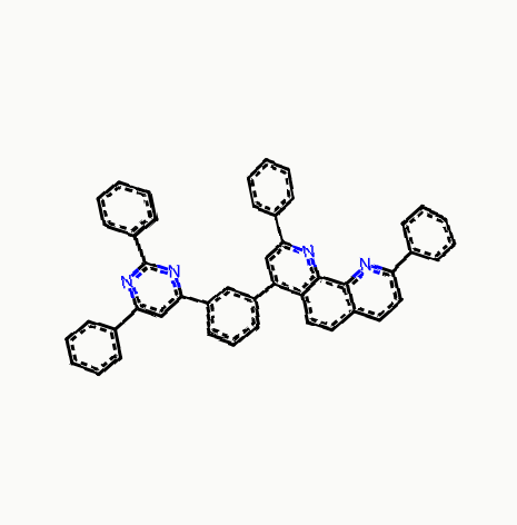 c1ccc(-c2cc(-c3cccc(-c4cc(-c5ccccc5)nc5c4ccc4ccc(-c6ccccc6)nc45)c3)nc(-c3ccccc3)n2)cc1